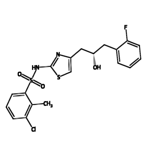 Cc1c(Cl)cccc1S(=O)(=O)Nc1nc(C[C@@H](O)Cc2ccccc2F)cs1